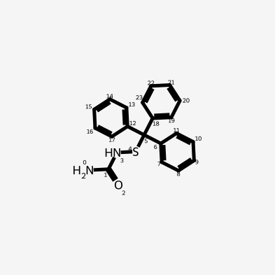 NC(=O)NSC(c1ccccc1)(c1ccccc1)c1ccccc1